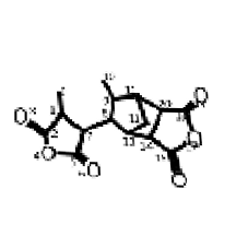 CC1C(=O)OC(=O)C1C1C(C)C2CC1C1C(=O)OC(=O)C21